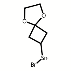 [Br][Sn][CH]1CC2(C1)OCCO2